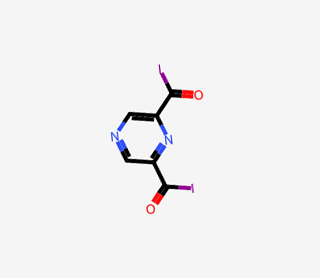 O=C(I)c1cncc(C(=O)I)n1